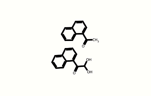 CC(=O)c1cccc2ccccc12.O=C(c1cccc2ccccc12)C(O)O